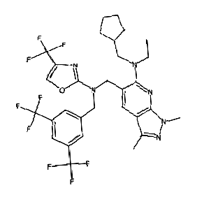 CCN(CC1CCCC1)c1nc2c(cc1CN(Cc1cc(C(F)(F)F)cc(C(F)(F)F)c1)c1nc(C(F)(F)F)co1)c(C)nn2C